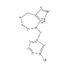 Clc1cccc(CC2CCCCc3[c]n[nH]c32)c1